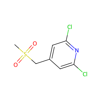 CS(=O)(=O)Cc1cc(Cl)nc(Cl)c1